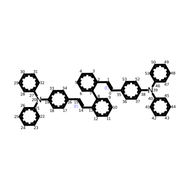 C(=C\c1ccccc1-c1ccccc1/C=C/c1ccc(N(c2ccccc2)c2ccccc2)cc1)/c1ccc(N(c2ccccc2)c2ccccc2)cc1